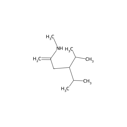 C=C(CC(C(C)C)C(C)C)NC